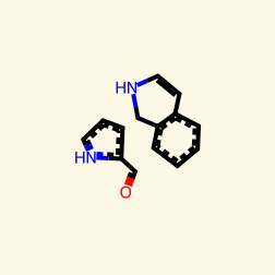 C1=Cc2ccccc2CN1.O=Cc1ccc[nH]1